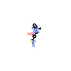 N#Cc1nc(-c2ccc(-c3cnc(N(C4CC4)[C@H]4CC5CCC[C@@H](C4)N5)nn3)c(O)c2)cs1